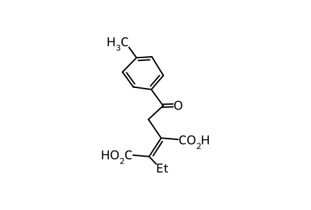 CC/C(C(=O)O)=C(/CC(=O)c1ccc(C)cc1)C(=O)O